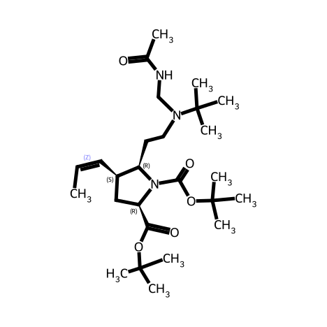 C/C=C\[C@@H]1C[C@H](C(=O)OC(C)(C)C)N(C(=O)OC(C)(C)C)[C@@H]1CCN(CNC(C)=O)C(C)(C)C